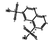 O=S(=O)(O)c1cnc2nccc(S(=O)(=O)O)c2c1